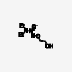 CCN(CC)[N+]([O-])=NOCCO